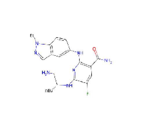 CCCC[C@H](CN)Nc1nc(Nc2ccc3c(cnn3CC)c2)c(C(N)=O)cc1F